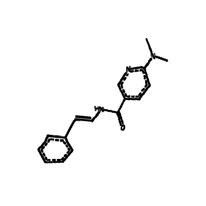 CN(C)c1ccc(C(=O)NC=Cc2ccccc2)cn1